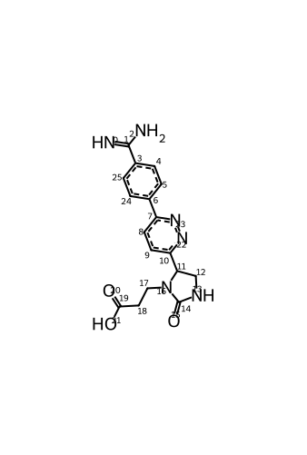 N=C(N)c1ccc(-c2ccc(C3CNC(=O)N3CCC(=O)O)nn2)cc1